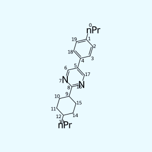 CCCc1ccc(-c2cnc(C3CCC(CCC)CC3)nc2)cc1